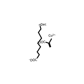 C=C(C)C(=O)[O-].CCCCCCCCCCCCCCCCCC(=O)[O-].[Cu+2]